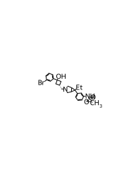 CCC1(c2cccc(NS(C)(=O)=O)c2)C2CN(C[C@H]3C[C@@](O)(c4cccc(Br)c4)C3)CC21